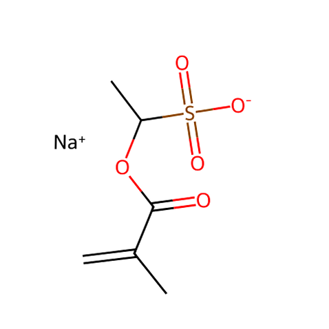 C=C(C)C(=O)OC(C)S(=O)(=O)[O-].[Na+]